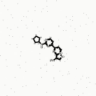 CC(C)c1cnn2ccc(-c3ccnc(NC4CCCC4)n3)nc12